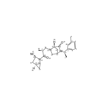 Cc1cccc([C@@H](C)N2C(=O)[C@@H]3CC2CN3C[C@H](C)C(=O)N2C3C[C@H]3C[C@H]2C#N)c1